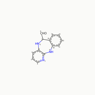 O=CC1Nc2cccnc2Nc2ccccc21